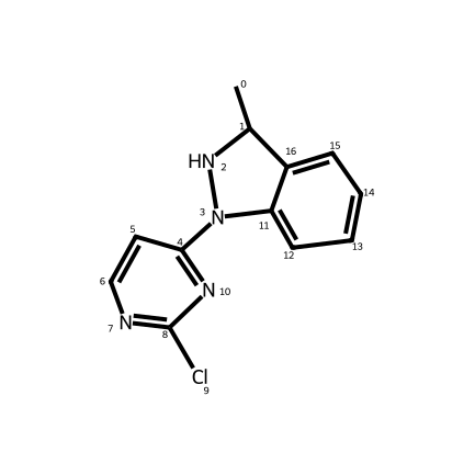 CC1NN(c2ccnc(Cl)n2)c2ccccc21